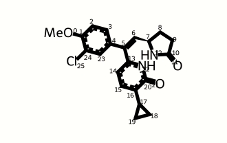 COc1ccc(/C(=C/[C@H]2CCC(=O)N2)c2ccc(C3CC3)c(=O)[nH]2)cc1Cl